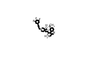 COc1ccc2ncc(CN)c([C@H](F)CCC3(C(=O)O)CCN(CC#Cc4cc(F)c(F)c(F)c4)CC3)c2c1